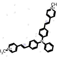 C[n+]1ccc(/C=C/c2ccc(N(c3ccccc3)c3ccc(/C=C/c4cc[n+](C)cc4)cc3)cc2)cc1